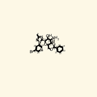 Cc1nc([C@@H]2OC3COC(c4ccccc4)O[C@@H]3C(N)C2O)n(-c2cncc(Br)c2)n1